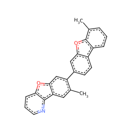 Cc1cc2c(cc1-c1ccc3c(c1)oc1c(C)cccc13)oc1cccnc12